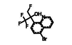 OC(CF)(c1ccc(Br)c2cccnc12)C(F)(F)F